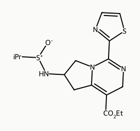 CCOC(=O)C1=C2CC(N[S+]([O-])C(C)C)CN2C(c2nccs2)=NC1